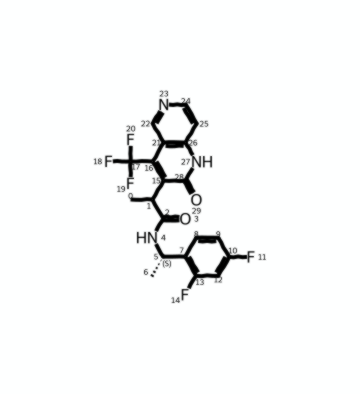 CC(C(=O)N[C@@H](C)c1ccc(F)cc1F)c1c(C(F)(F)F)c2cnccc2[nH]c1=O